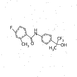 Cc1cc(F)ccc1C(=O)Nc1ccc(C(C)(O)C(F)(F)F)cc1